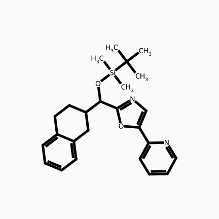 CC(C)(C)[Si](C)(C)OC(c1ncc(-c2ccccn2)o1)C1CCc2ccccc2C1